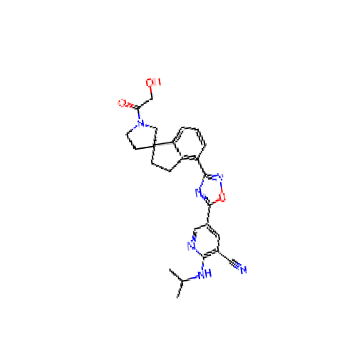 CC(C)Nc1ncc(-c2nc(-c3cccc4c3CCC43CCN(C(=O)CO)C3)no2)cc1C#N